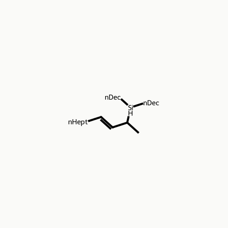 CCCCCCCC=CC(C)[SiH](CCCCCCCCCC)CCCCCCCCCC